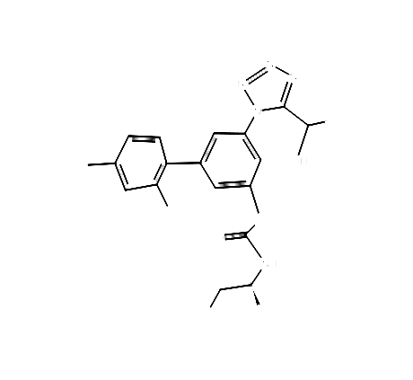 Cc1ccc(-c2cc(OC(=O)N[C@@H](C)CO)cc(-n3nnnc3C(C)C)c2)c(F)c1